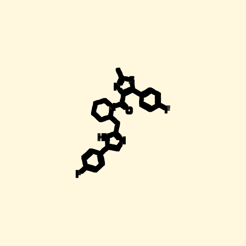 Cc1nc(C(=O)N2CCCCC2Cc2ncc(-c3ccc(F)cc3)[nH]2)c(-c2ccc(F)cc2)s1